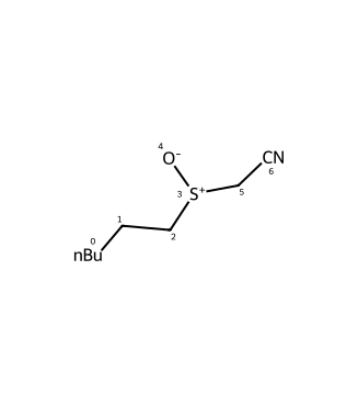 CCCCCC[S+]([O-])CC#N